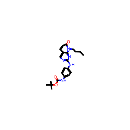 CCCCn1c(=O)ccc2cnc(Nc3ccc(NC(=O)OC(C)(C)C)cc3)nc21